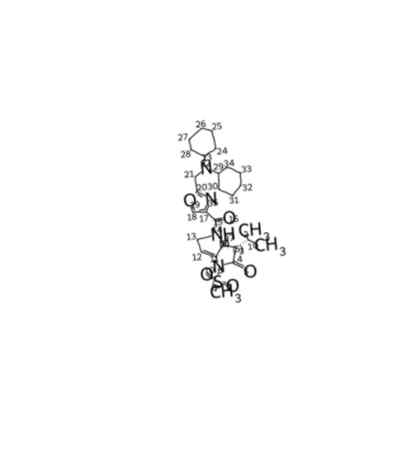 CC(C)[C@@H]1C(=O)N(S(C)(=O)=O)C2=CCN(C(=O)c3coc(CN(C4CCCCC4)C4CCCCC4)n3)[C@H]21